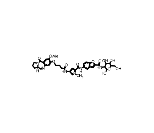 COc1cc2c(cc1OCCCC(=O)Nc1cc(C(=O)Nc3ccc4oc(C(=O)NC5C(O)OC(CO)C(O)C5O)cc4c3)n(C)c1)N=C[C@@H]1CCCN1C2=O